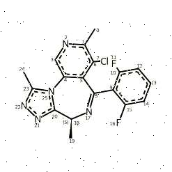 Cc1ncc2c(c1Cl)C(c1c(F)cccc1F)=N[C@@H](C)c1nnc(C)n1-2